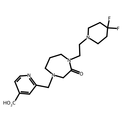 O=C(O)c1ccnc(CN2CCCN(CCN3CCC(F)(F)CC3)C(=O)C2)c1